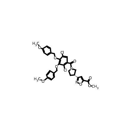 COC(=O)c1cc([C@@H]2CCN(C(=O)c3cc(Cl)c(OCc4ccc(OC)cc4)c(OCc4ccc(OC)cc4)c3Cl)C2)no1